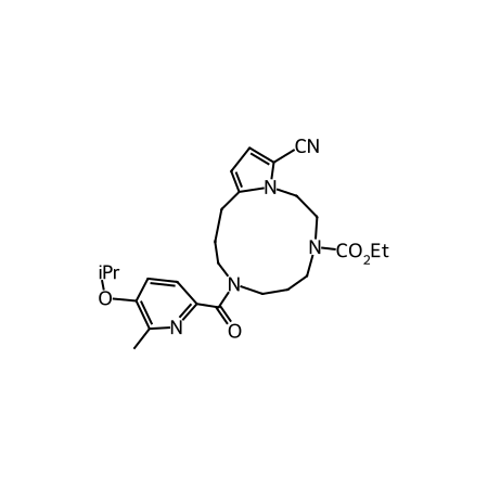 CCOC(=O)N1CCCN(C(=O)c2ccc(OC(C)C)c(C)n2)CCCc2ccc(C#N)n2CC1